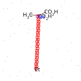 C=CCCCCCCCCCC(CCCCCCCCCCC(=O)O)(C(=O)O)C(=O)NCCOCCOCCOCCOCCOCCOCCOCCOCCOCCOCCOCCOCCOCCOCCOCCOCCOCCOCCOCCOCCOCCOCCOCC